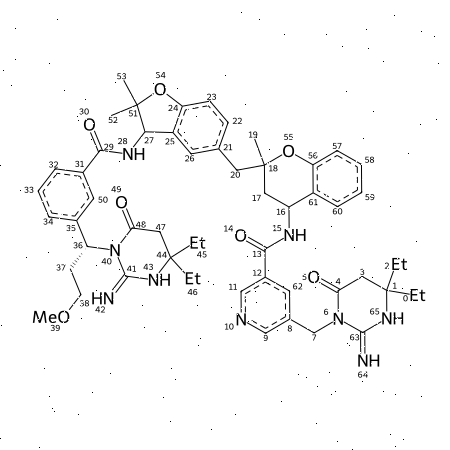 CCC1(CC)CC(=O)N(Cc2cncc(C(=O)NC3CC(C)(Cc4ccc5c(c4)C(NC(=O)c4cccc([C@@H](CCOC)N6C(=N)NC(CC)(CC)CC6=O)c4)C(C)(C)O5)Oc4ccccc43)c2)C(=N)N1